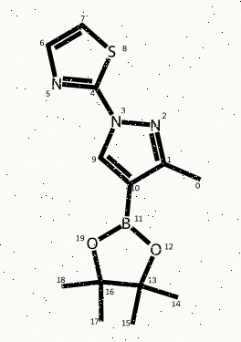 Cc1nn(-c2nccs2)cc1B1OC(C)(C)C(C)(C)O1